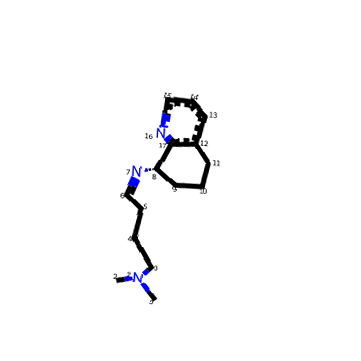 CN(C)CCC/C=N\[C@H]1CCCc2cccnc21